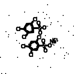 O=S(=O)([O-])c1cc(Cl)c(Cl)cc1Cl.O=S(=O)([O-])c1cc(Cl)c(Cl)cc1Cl.[K+].[Na+]